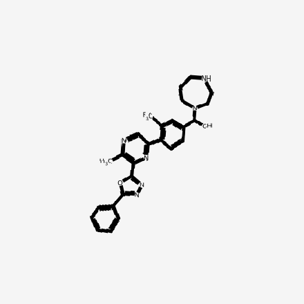 Cc1ncc(-c2ccc(C(O)N3CCCNCC3)cc2C(F)(F)F)nc1-c1nnc(-c2ccccc2)o1